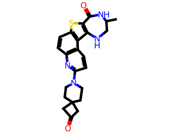 CC1CNc2c(sc3ccc4nc(N5CCC6(CC5)CC(=O)C6)ccc4c23)C(=O)N1